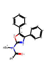 CCCCN(C(=O)C(C)C)c1nc(-c2ccccc2)c(-c2ccccc2)o1